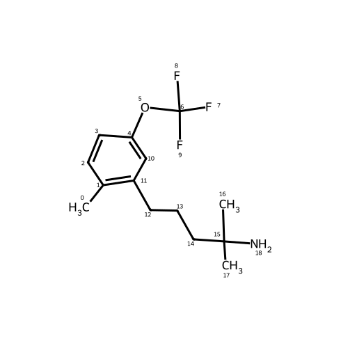 Cc1ccc(OC(F)(F)F)cc1CCCC(C)(C)N